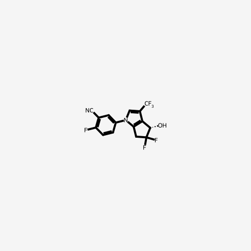 N#Cc1cc(-n2cc(C(F)(F)F)c3c2CC(F)(F)[C@H]3O)ccc1F